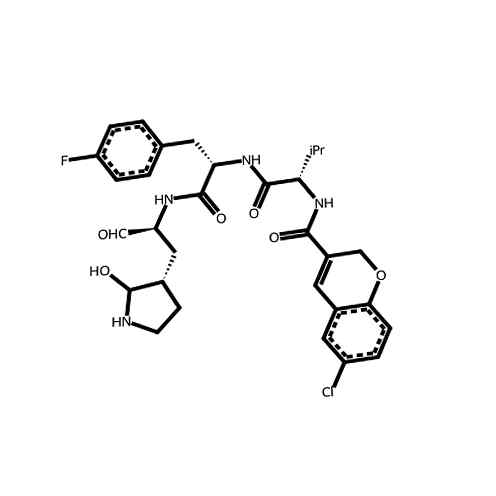 CC(C)[C@H](NC(=O)C1=Cc2cc(Cl)ccc2OC1)C(=O)N[C@@H](Cc1ccc(F)cc1)C(=O)N[C@H](C=O)C[C@@H]1CCNC1O